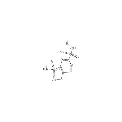 CCNS(=O)(=O)c1ccc(C[O])c(S(N)(=O)=O)c1